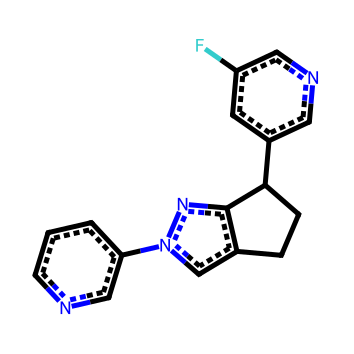 Fc1cncc(C2CCc3cn(-c4cccnc4)nc32)c1